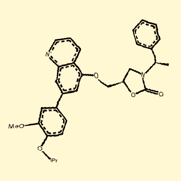 COc1cc(-c2cc(OC[C@H]3CN([C@H](C)c4ccccc4)C(=O)O3)c3cccnc3c2)ccc1OC(C)C